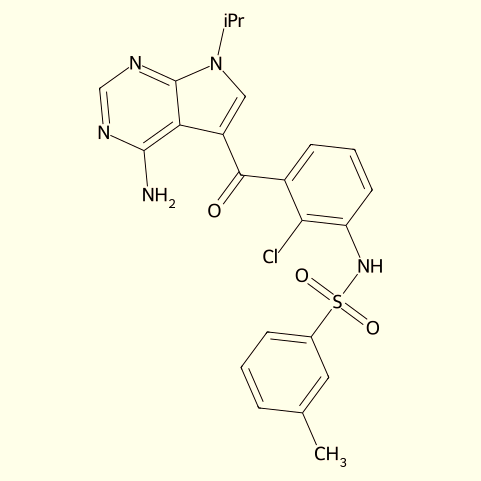 Cc1cccc(S(=O)(=O)Nc2cccc(C(=O)c3cn(C(C)C)c4ncnc(N)c34)c2Cl)c1